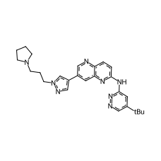 CC(C)(C)c1cnnc(Nc2ccc3ncc(-c4cnn(CCCN5CCCC5)c4)cc3n2)c1